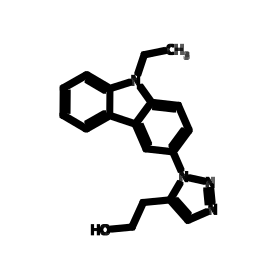 CCn1c2ccccc2c2cc(-n3nncc3CCO)ccc21